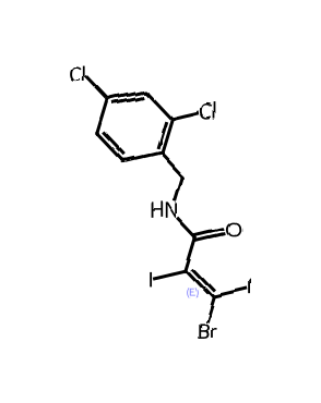 O=C(NCc1ccc(Cl)cc1Cl)/C(I)=C(/Br)I